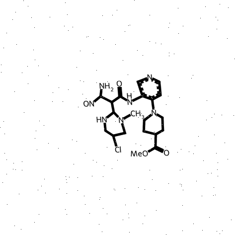 COC(=O)C1CCN(c2ccncc2NC(=O)C(C(N)N=O)C2NCC(Cl)CN2C)CC1